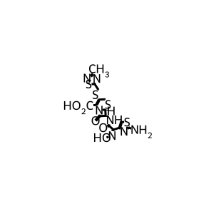 Cc1nsc(CSC2=C(C(=O)O)N3C(=O)[C@@H](NC(=O)/C(=N\O)c4csc(N)n4)[C@@H]3SC2)n1